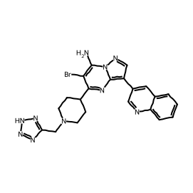 Nc1c(Br)c(C2CCN(Cc3nn[nH]n3)CC2)nc2c(-c3cnc4ccccc4c3)cnn12